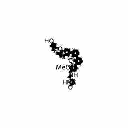 COc1nc(-c2cccc(-c3cccc(-c4ccn5c(=O)c(CN6CC7(CC(O)C7)C6)cnc5c4)c3Cl)c2Cl)ccc1CNC[C@H]1CCC(=O)N1